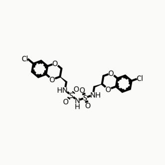 O=S(=O)(NC[C@@H]1COc2cc(Cl)ccc2O1)NS(=O)(=O)NC[C@H]1COc2cc(Cl)ccc2O1